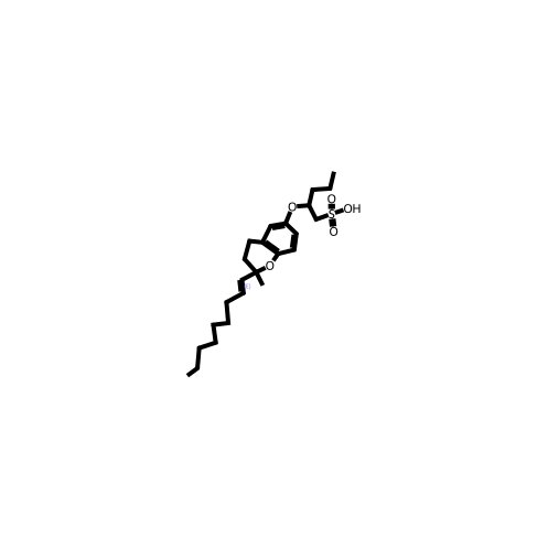 CCCCCCC/C=C/C1(C)CCc2cc(OC(CCC)CS(=O)(=O)O)ccc2O1